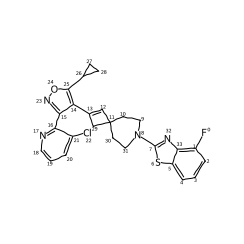 Fc1cccc2sc(N3CCC4(C=C(c5c(-c6ncccc6Cl)noc5C5CC5)C4)CC3)nc12